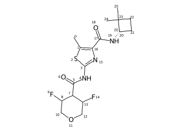 Cc1sc(NC(=O)C2C(F)COCC2F)nc1C(=O)N[C@H]1CCC1(C)C